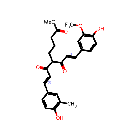 COC(=O)CCCC(C(=O)/C=C/c1ccc(O)c(C)c1)C(=O)/C=C/c1ccc(O)c(OC(F)(F)F)c1